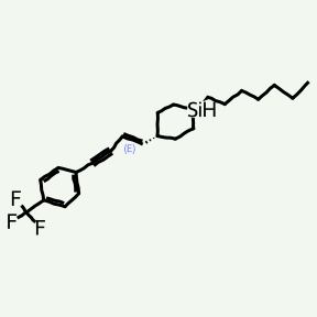 CCCCCCC[Si@H]1CC[C@H](/C=C/C#Cc2ccc(C(F)(F)F)cc2)CC1